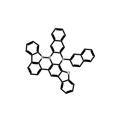 c1ccc2cc(N3c4cc5ccccc5cc4B4c5c(cc6c(oc7ccccc76)c53)-c3cccc5c6ccccc6n4c35)ccc2c1